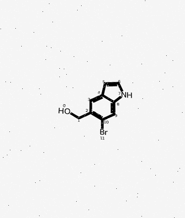 OCc1cc2cc[nH]c2cc1Br